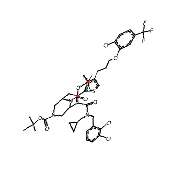 CC(C)(C)OC(=O)N1CC2CC(c3nc(CCCOc4cc(C(F)(F)F)ccc4Cl)cs3)=C(C(=O)N(Cc3cccc(Cl)c3Cl)C3CC3)C(C1)N2C(=O)OC(C)(C)C